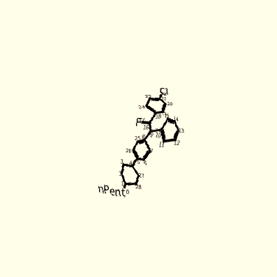 CCCCCC1CCC(c2ccc(C(c3ccccc3)C(F)c3ccc(Cl)cc3)cc2)CC1